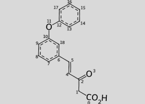 O=C(O)CC(=O)C=Cc1cccc(Oc2ccccc2)c1